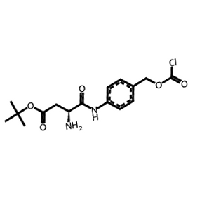 CC(C)(C)OC(=O)C[C@H](N)C(=O)Nc1ccc(COC(=O)Cl)cc1